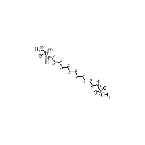 CS(=O)(=O)NCCCCCCCCCCCCNS(C)(=O)=O